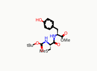 COC(=O)[C@H](Cc1ccc(O)cc1)NC(=O)[C@H](CSC)NC(=O)OC(C)(C)C